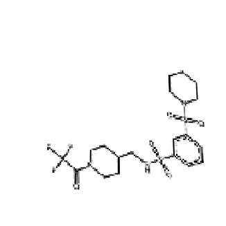 O=C(N1CCC(CNS(=O)(=O)c2cccc(S(=O)(=O)N3CCCCC3)c2)CC1)C(F)(F)F